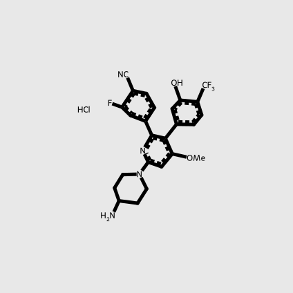 COc1cc(N2CCC(N)CC2)nc(-c2ccc(C#N)c(F)c2)c1-c1ccc(C(F)(F)F)c(O)c1.Cl